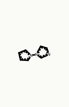 c1ccn(-n2ccnc2)c1